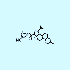 CC1CCC2C(CCC3C2CCC2(C)C(C(=O)Cn4cc(C#N)cn4)CC(C4CC4)C32)C1